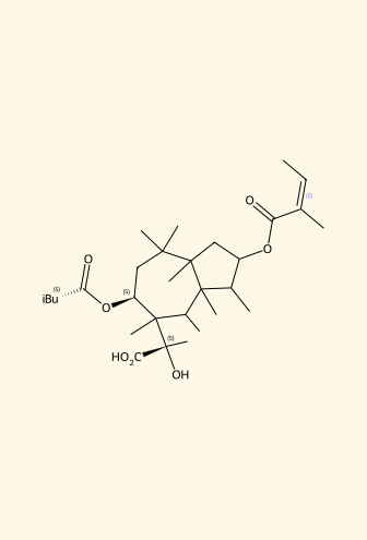 C/C=C(/C)C(=O)OC1CC2(C)C(C)(C)C[C@H](OC(=O)[C@@H](C)CC)C(C)([C@](C)(O)C(=O)O)C(C)C2(C)C1C